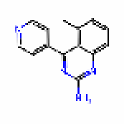 Cc1cccc2nc(N)nc(-c3ccncc3)c12